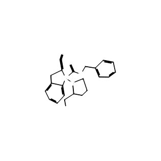 O=C=C1Cc2ccccc2[N+]1(C(=O)OCc1ccccc1)N1CCCC1CO